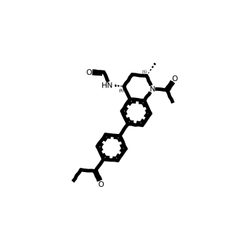 CCC(=O)c1ccc(-c2ccc3c(c2)[C@H](NC=O)C[C@H](C)N3C(C)=O)cc1